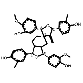 C=C1[C@@H](c2ccc(O)c(C)c2)O[C@@H](c2ccc(OC)c(O)c2)[C@]12CCC1C(C2)[C@@H](c2ccc(O)c(OC)c2)O[C@H]1c1ccc(O)c(C)c1